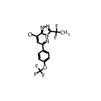 CC(F)(F)c1nnc2c(Cl)cc(-c3ccc(OC(F)(F)F)cc3)nn12